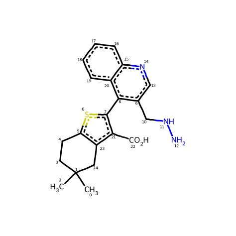 CC1(C)CCc2sc(-c3c(CNN)cnc4ccccc34)c(C(=O)O)c2C1